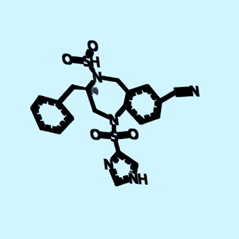 N#Cc1ccc2c(c1)CN([SH](=O)=O)[C@H](Cc1ccccc1)CN2S(=O)(=O)c1c[nH]cn1